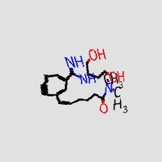 CN(C)C(=O)CCC/C=C\C1=CC(C(=N)NC(CO)CCO)=CCC#C1